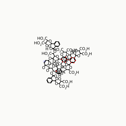 O=C(/C=C\C(=O)OC(=O)C(OC(=O)c1ccccc1OC(C(=O)O)C(OC(=O)c1ccccc1C(=O)OC(C(=O)O)C(O)C(=O)O)C(=O)O)C(OC(=O)c1ccccc1C(=O)OC(C(=O)O)C(O)C(=O)O)C(=O)O)OC(=O)C(OC(=O)c1ccccc1OC(C(=O)O)C(OC(=O)c1ccccc1C(=O)OC(C(=O)O)C(O)C(=O)O)C(=O)O)C(OC(=O)c1ccccc1C(=O)OC(C(=O)O)C(O)C(=O)O)C(=O)O